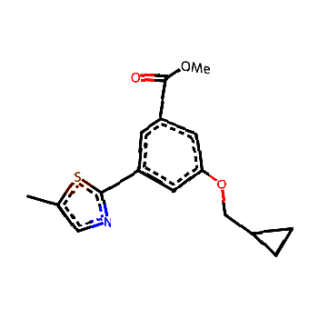 COC(=O)c1cc(OCC2CC2)cc(-c2ncc(C)s2)c1